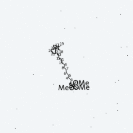 CO[Si](CCCCCCCCCCCCC1=[C]([Pt]([CH3])([CH3])[CH3])CC=C1)(OC)OC